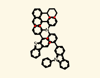 c1ccc(-n2c3ccccc3c3ccc(-c4ccc(N(c5ccccc5-c5cccc6c5sc5ccccc56)c5ccccc5-c5cccc6cccc(C7CCCCC7)c56)cc4)cc32)cc1